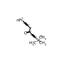 CCCC#CCC(=O)C#C[Si](C)(C)C